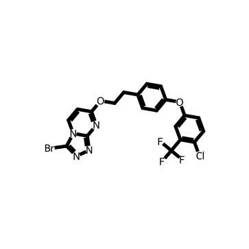 FC(F)(F)c1cc(Oc2ccc(CCOc3ccn4c(Br)nnc4n3)cc2)ccc1Cl